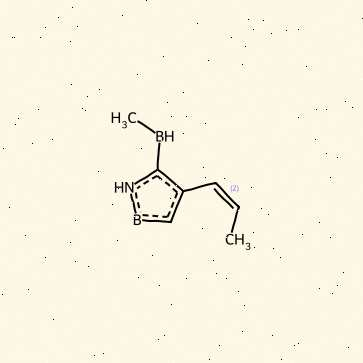 CBc1[nH]bcc1/C=C\C